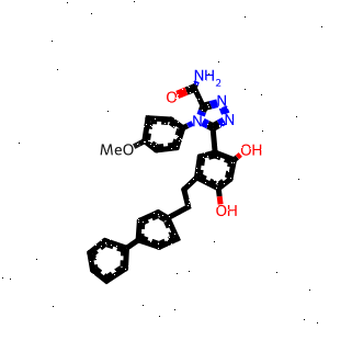 COc1ccc(-n2c(C(N)=O)nnc2-c2cc(CCc3ccc(-c4ccccc4)cc3)c(O)cc2O)cc1